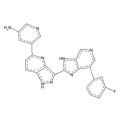 Nc1cncc(-c2ccc3[nH]nc(-c4nc5c(-c6cccc(F)c6)cncc5[nH]4)c3n2)c1